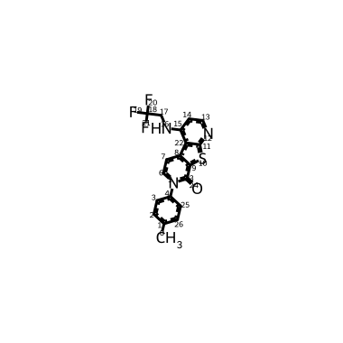 Cc1ccc(-n2ccc3c(sc4nccc(NCC(F)(F)F)c43)c2=O)cc1